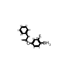 Bc1ccc(OC(C)Cc2ccccc2)cc1F